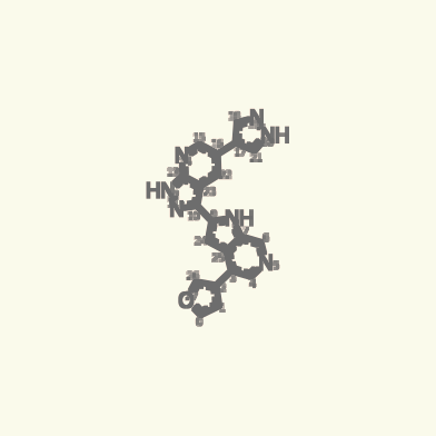 c1cc(-c2cncc3[nH]c(-c4n[nH]c5ncc(-c6cn[nH]c6)cc45)cc23)co1